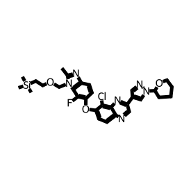 Cc1nc2ccc(Oc3ccc4ncc(-c5cnn(C6CCCCO6)c5)nc4c3Cl)c(F)c2n1COCC[Si](C)(C)C